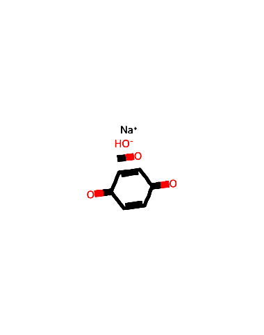 C=O.O=C1C=CC(=O)C=C1.[Na+].[OH-]